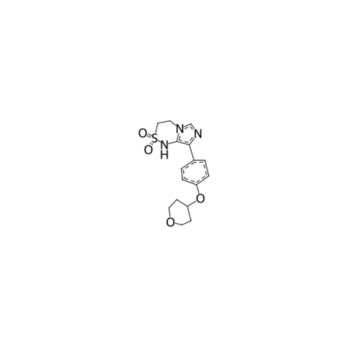 O=S1(=O)CCn2cnc(-c3ccc(OC4CCOCC4)cc3)c2N1